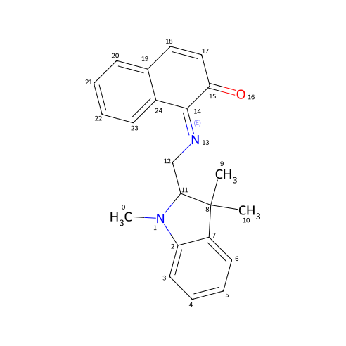 CN1c2ccccc2C(C)(C)C1C/N=C1/C(=O)C=Cc2ccccc21